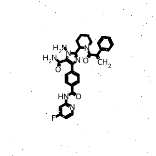 C=C(C(=O)N1CCCCC1c1nc(-c2ccc(C(=O)Nc3cc(F)ccn3)cc2)c(C(N)=O)n1N)c1ccccc1